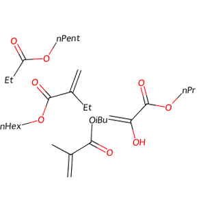 C=C(C)C(=O)OCC(C)C.C=C(CC)C(=O)OCCCCCC.C=C(O)C(=O)OCCC.CCCCCOC(=O)CC